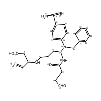 C=CC(CC(=O)O)NCCCC(NC(=O)CCC=O)N(Cc1ccccc1)c1ccc(C(=N)N)cc1